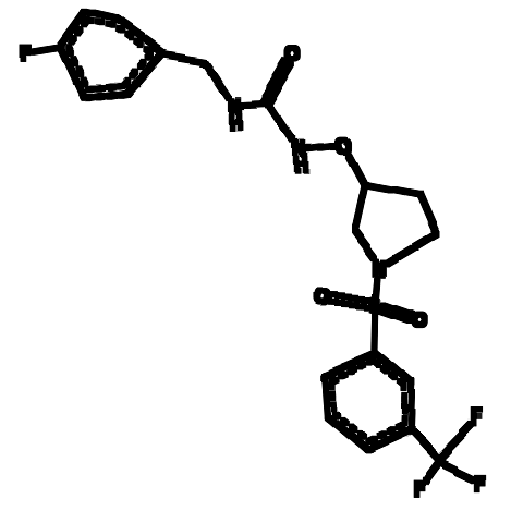 O=C(NCc1ccc(F)cc1)NOC1CCN(S(=O)(=O)c2cccc(C(F)(F)F)c2)C1